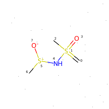 C=S(C)(=O)N[S+](C)[O-]